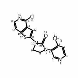 Cc1ccncc1N1CCN(c2cc3c(Cl)nccc3s2)C1=O